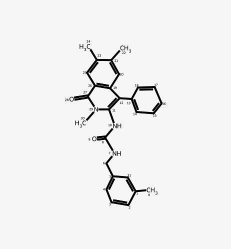 Cc1cccc(CNC(=O)Nc2c(-c3ccccc3)c3cc(C)c(C)cc3c(=O)n2C)c1